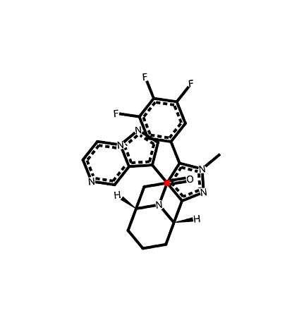 Cn1nc2c(c1-c1cc(F)c(F)c(F)c1)C[C@H]1CCC[C@@H]2N1C(=O)c1cnn2ccncc12